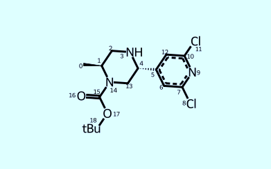 C[C@H]1CN[C@H](c2cc(Cl)nc(Cl)c2)CN1C(=O)OC(C)(C)C